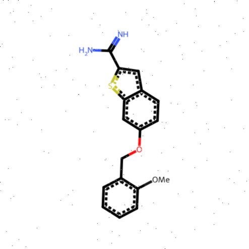 COc1ccccc1COc1ccc2cc(C(=N)N)sc2c1